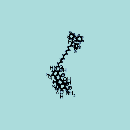 CN(C)c1cc(NC(=O)CCCCCCCCCCC[PH](c2ccccc2)(c2ccccc2)c2cnn(C)c2)c(O)c2c1C[C@H]1C[C@H]3[C@H](N(C)C)C(O)=C(C(N)=O)C(=O)[C@@]3(O)C(O)=C1C2=O